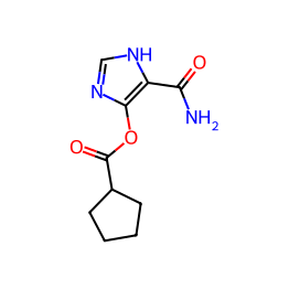 NC(=O)c1[nH]cnc1OC(=O)C1CCCC1